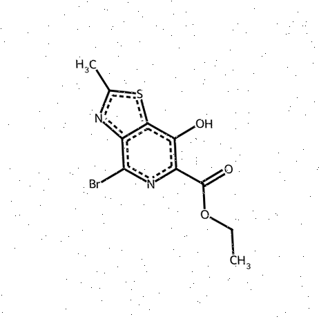 CCOC(=O)c1nc(Br)c2nc(C)sc2c1O